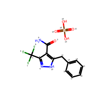 NC(=O)c1c(C(F)(F)F)n[nH]c1Cc1ccccc1.O=S(=O)(O)O